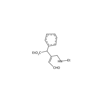 CCNC/C(=C\C=O)C(C(=O)OCC)c1ccccc1